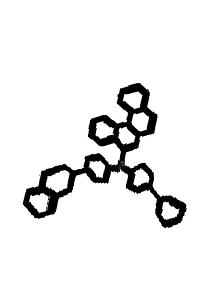 c1ccc(-c2ccc(N(c3ccc(-c4ccc5ccccc5c4)cc3)c3cc4ccc5ccccc5c4c4ccccc34)cc2)cc1